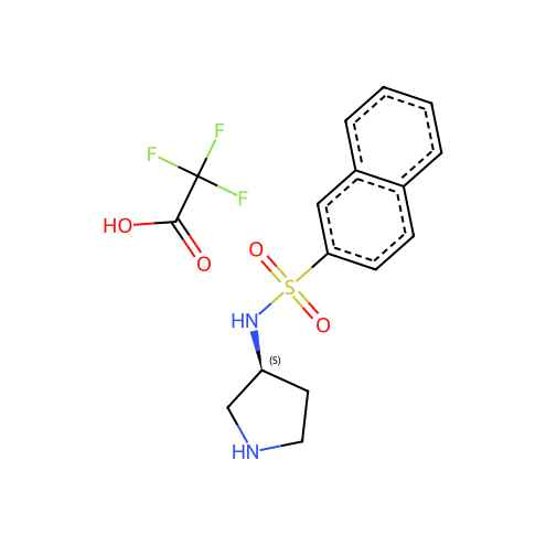 O=C(O)C(F)(F)F.O=S(=O)(N[C@H]1CCNC1)c1ccc2ccccc2c1